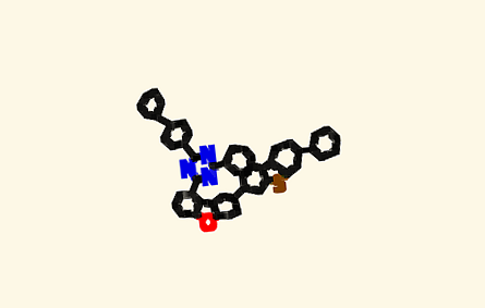 c1ccc(-c2ccc(-c3nc(-c4ccccc4)nc(-c4cccc5oc6ccc(-c7ccc8c(c7)sc7cc(-c9ccccc9)ccc78)cc6c45)n3)cc2)cc1